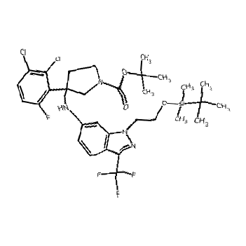 CC(C)(C)OC(=O)N1CCC(Nc2ccc3c(C(F)(F)F)nn(CCO[Si](C)(C)C(C)(C)C)c3c2)(c2c(F)ccc(Cl)c2Cl)C1